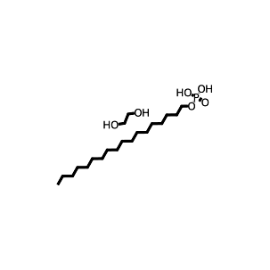 CCCCCCCCCCCCCCCCCCOP(=O)(O)O.OCCO